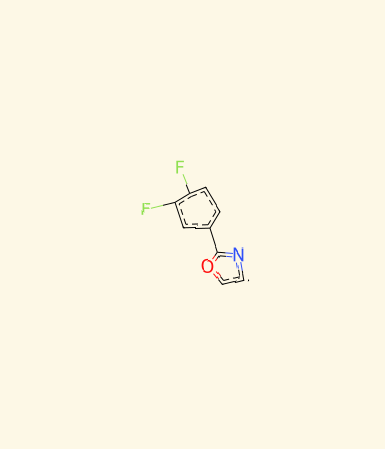 Fc1ccc(-c2n[c]co2)cc1F